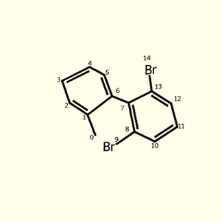 Cc1ccccc1-c1c(Br)cccc1Br